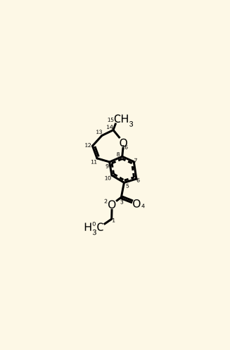 CCOC(=O)c1ccc2c(c1)C=CCC(C)O2